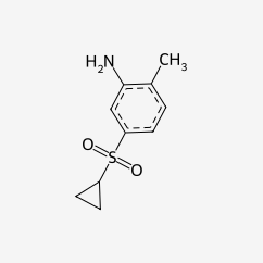 Cc1ccc(S(=O)(=O)C2CC2)cc1N